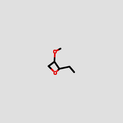 CCC1OCC1OC